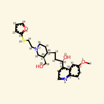 COc1ccc2nccc([C@@H](O)CC[C@@H]3CCN(CCSc4ccco4)C[C@@H]3CO)c2c1